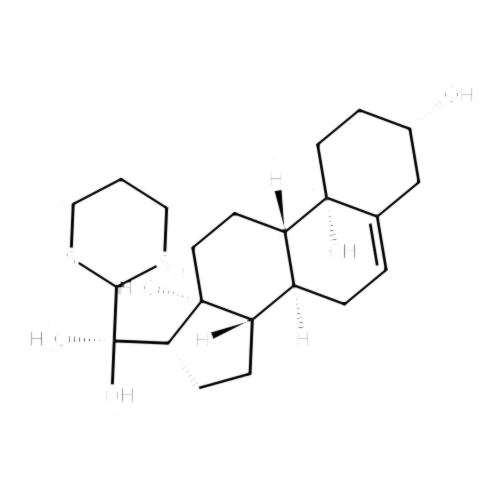 C[C@]12CC[C@H]3[C@@H](CC=C4C[C@@H](O)CC[C@@]43C)[C@@H]1CC[C@@H]2[C@@](C)(O)C1SCCCS1